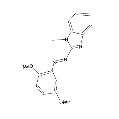 COc1ccc(OC)c(/N=N/c2nc3ccccc3n2C)c1